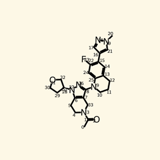 CC(=O)N1CCc2c(c(N3CCCc4cc(-c5cnn(C)c5)c(F)cc43)nn2[C@H]2CCOC2)C1